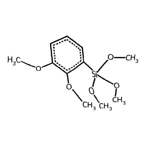 COc1cccc([Si](OC)(OC)OC)c1OC